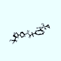 CC(C)(C(=O)Nc1ccc(-c2cncc(C(F)(F)F)n2)cn1)c1ccnc(NS(=O)(=O)C2CC2)n1